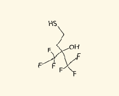 OC(CCS)(C(F)(F)F)C(F)(F)F